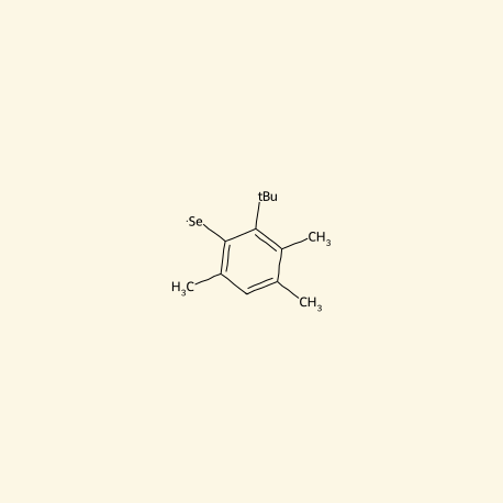 Cc1cc(C)c([Se])c(C(C)(C)C)c1C